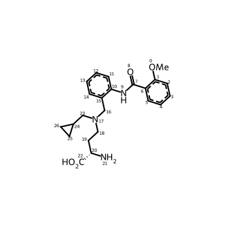 COc1ccccc1C(=O)Nc1ccccc1CN(CC[C@H](N)C(=O)O)CC1CC1